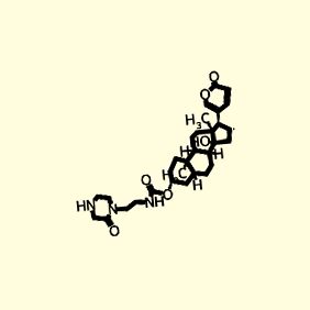 C[C@]12CC[C@H](OC(=O)NCCN3CCNCC3=O)C[C@H]1CC[C@@H]1[C@@H]2CC[C@]2(C)[C@@H](c3ccc(=O)oc3)[CH]C[C@]12O